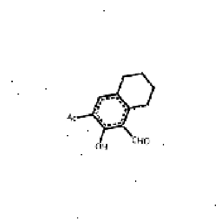 CC(=O)c1cc2c(c(C=O)c1O)CCCC2